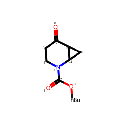 CCCCOC(=O)N1CCC(=O)C2CC21